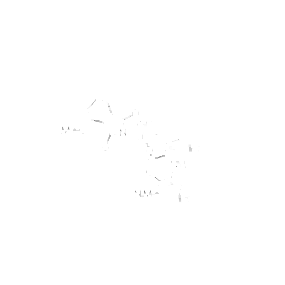 CNC(=O)[C@H](CC(C)C)NC(=O)[C@H](CC(C)C)CP(=O)(O)CN1C(=O)c2cccc(OC)c2C1=O